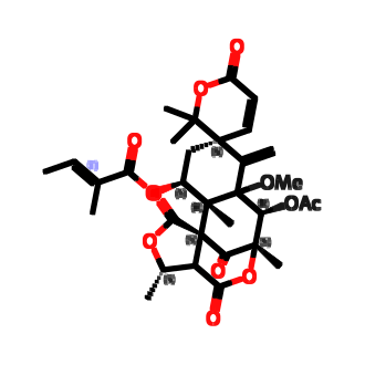 C=C1C2(OC)[C@@H](OC(C)=O)[C@]3(C)OC(=O)C4[C@H](C)OC(=O)[C@]4(C3=O)[C@]2(C)[C@@H](OC(=O)/C(C)=C/C)C[C@]12C=CC(=O)OC2(C)C